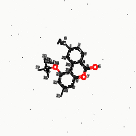 CC(=O)c1ccc2c(=O)oc3cc(C)cc(O[Si](C)(C)C(C)(C)C)c3c2c1